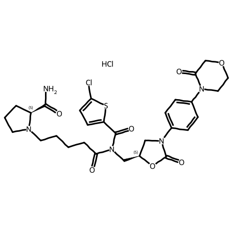 Cl.NC(=O)[C@@H]1CCCN1CCCCC(=O)N(C[C@H]1CN(c2ccc(N3CCOCC3=O)cc2)C(=O)O1)C(=O)c1ccc(Cl)s1